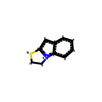 c1ccc2c(c1)cc1n2CCS1